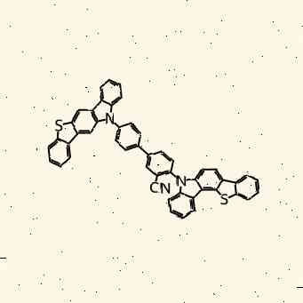 N#Cc1cc(-c2ccc(-n3c4ccccc4c4cc5sc6ccccc6c5cc43)cc2)ccc1-n1c2ccccc2c2c3sc4ccccc4c3ccc21